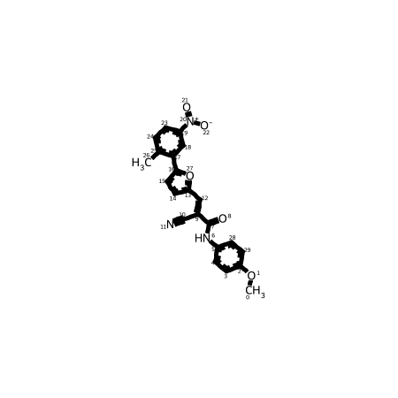 COc1ccc(NC(=O)/C(C#N)=C/c2ccc(-c3cc([N+](=O)[O-])ccc3C)o2)cc1